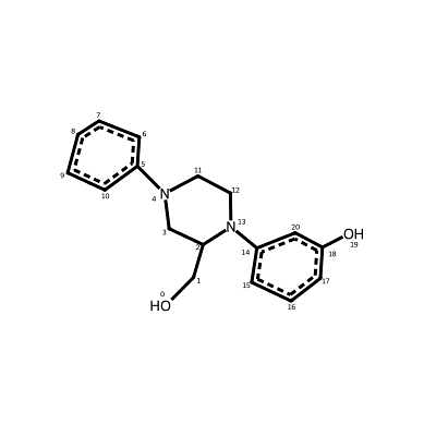 OCC1CN(c2ccccc2)CCN1c1cccc(O)c1